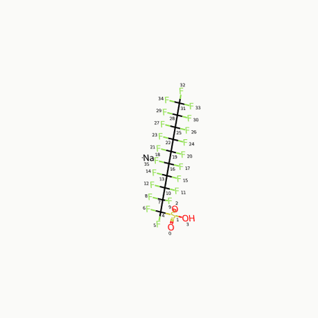 O=S(=O)(O)C(F)(F)C(F)(F)C(F)(F)C(F)(F)C(F)(F)C(F)(F)C(F)(F)C(F)(F)C(F)(F)C(F)(F)F.[Na]